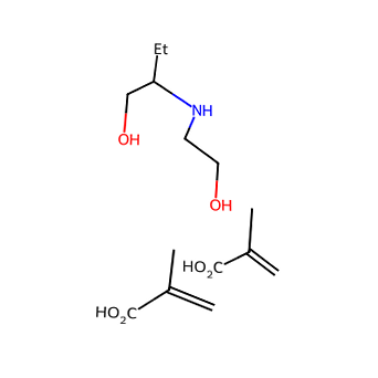 C=C(C)C(=O)O.C=C(C)C(=O)O.CCC(CO)NCCO